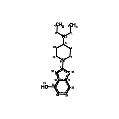 CCN(CC)C1CCN(c2nc3c(O)cccc3s2)CC1